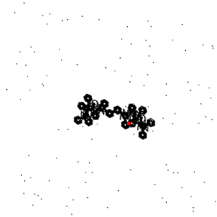 O=c1c2c(c3ccccc3n2-c2nc(-c3ccccc3)nc(-c3ccccc3)n2)c2c(c3ccccc3n2-c2nc(-c3ccccc3)nc(-c3cccc(-c4cccc(-c5nc(-n6c7ccccc7c7c6c(=O)n(-c6ccccc6)c6c8ccccc8n(-c8nc(-c9ccccc9)c9ccccc9n8)c76)nc6ccccc56)c4)c3)n2)n1-c1ccccc1